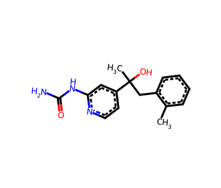 Cc1ccccc1CC(C)(O)c1ccnc(NC(N)=O)c1